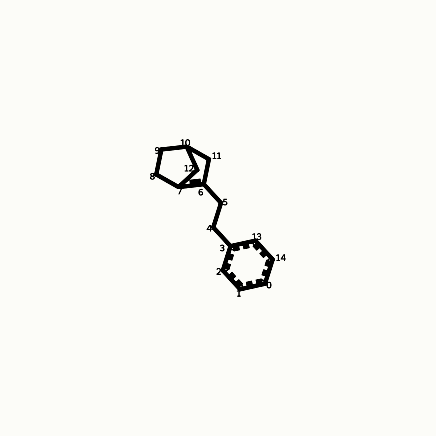 c1ccc(CCC2=C3CCC(C2)C3)cc1